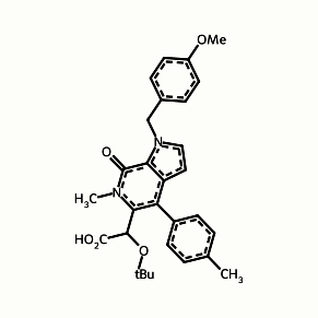 COc1ccc(Cn2ccc3c(-c4ccc(C)cc4)c(C(OC(C)(C)C)C(=O)O)n(C)c(=O)c32)cc1